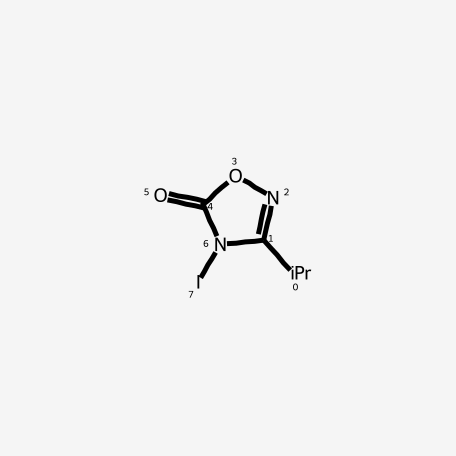 CC(C)c1noc(=O)n1I